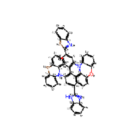 c1ccc2c(c1)Oc1ccccc1N2c1cc(-c2nc3ccccc3s2)ccc1-c1ccc(-c2nc3ccccc3[nH]2)cc1N1c2ccccc2Sc2ccccc21